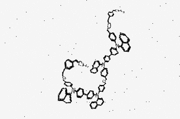 C=Cc1ccc(COCc2ccc(N(c3ccc(-c4ccc(N(c5ccc(COCc6ccc(N(c7ccc(-c8ccc(N(c9ccc(COCc%10ccc(C=C)cc%10)cc9)c9cccc%10ccccc9%10)cc8)cc7)c7cccc8ccccc78)cc6)cc5)c5cccc6ccccc56)cc4)cc3)c3cccc4ccccc34)cc2)cc1